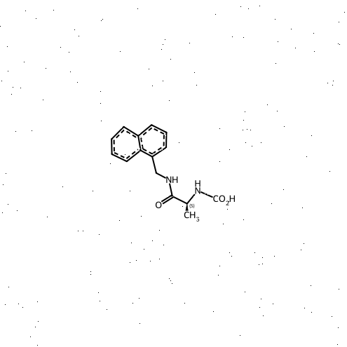 C[C@H](NC(=O)O)C(=O)NCc1cccc2ccccc12